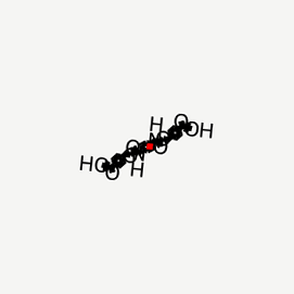 CC(C)(O)C(=O)c1ccc(COC(=O)NC2CC3CC2CC3NC(=O)OCc2ccc(C(=O)C(C)(C)O)cc2)cc1